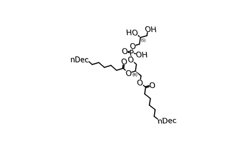 CCCCCCCCCCCCCCCC(=O)OC[C@H](COP(=O)(O)OC[C@@H](O)CO)OC(=O)CCCCCCCCCCCCCCC